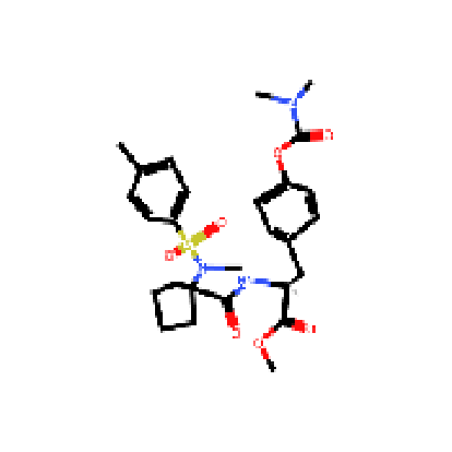 COC(=O)[C@H](Cc1ccc(OC(=O)N(C)C)cc1)NC(=O)C1(N(C)S(=O)(=O)c2ccc(C)cc2)CCCC1